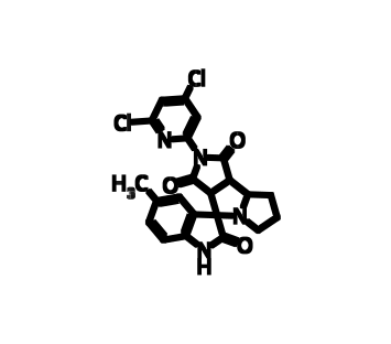 Cc1ccc2c(c1)C1(C(=O)N2)C2C(=O)N(c3cc(Cl)cc(Cl)n3)C(=O)C2C2CCCN21